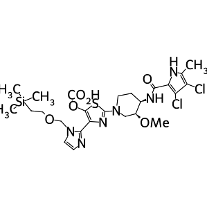 CO[C@H]1CN(c2nc(-c3nccn3COCC[Si](C)(C)C)c(OC(=O)O)s2)CC[C@H]1NC(=O)c1[nH]c(C)c(Cl)c1Cl